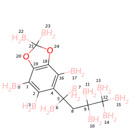 Bc1c(B)c(C(B)(B)CC(B)(B)C(B)(B)B)c(B)c2c1OC(B)(B)O2